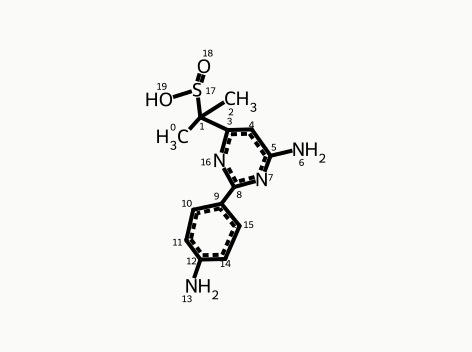 CC(C)(c1cc(N)nc(-c2ccc(N)cc2)n1)S(=O)O